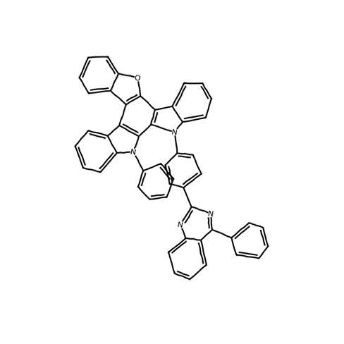 c1ccc(-c2nc(-c3ccc(-n4c5ccccc5c5c6oc7ccccc7c6c6c7ccccc7n(-c7ccccc7)c6c54)cc3)nc3ccccc23)cc1